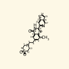 Cc1cc(CCN2CCS(=O)(=O)CC2)cc2c(=O)[nH]c(-c3cc4sccc4cn3)nc12